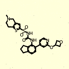 CN1CCc2sc(S(=O)(=O)NC(=O)Nc3c(-c4ccnc(OC5COC5)c4)ccc4c3CCC4)cc2C1